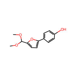 COC(OC)c1ccc(-c2ccc(O)cc2)o1